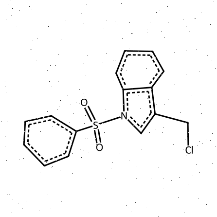 O=S(=O)(c1ccccc1)n1cc(CCl)c2ccccc21